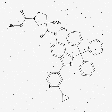 COC1(C(=O)N(C)c2ccc3c(-c4ccnc(C5CC5)c4)nn(C(c4ccccc4)(c4ccccc4)c4ccccc4)c3c2)CCN(C(=O)OC(C)(C)C)C1